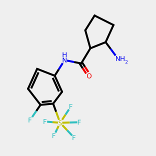 NC1CCCC1C(=O)Nc1ccc(F)c(S(F)(F)(F)(F)F)c1